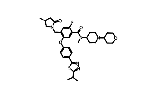 CC(C)c1nnc(-c2ccc(Oc3cc(C(=O)N(C)C4CCN(C5CCOCC5)CC4)c(F)cc3CN3C[C@@H](C)CC3=O)cc2)s1